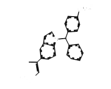 COc1ccc(C(c2ccccc2)n2ccc3cc(C(C)=CC(=O)O)ccc32)cc1